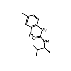 Cc1ccc(NC(=O)N[C@@H](C)C(C)C)c(Cl)c1